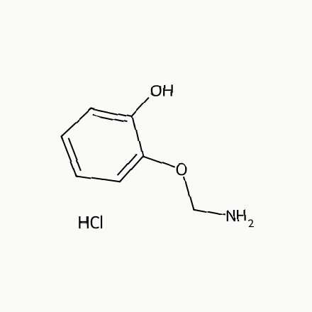 Cl.NCOc1ccccc1O